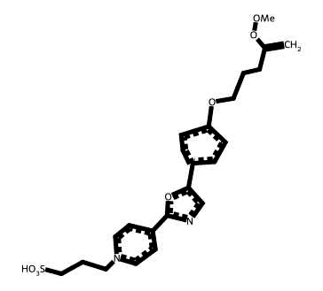 C=C(CCCOc1ccc(-c2cnc(-c3cc[n+](CCCS(=O)(=O)O)cc3)o2)cc1)OOC